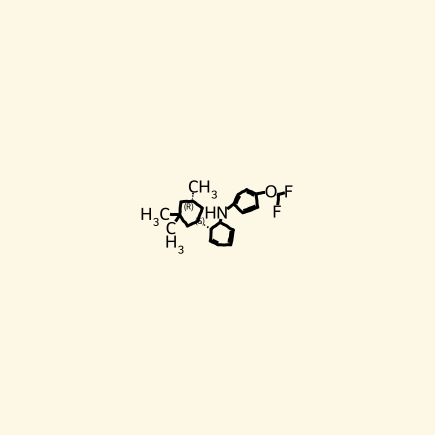 C[C@@H]1C[C@H](C2C=CC=CC2Nc2ccc(OC(F)F)cc2)CC(C)(C)C1